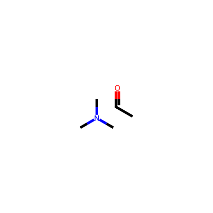 CC=O.CN(C)C